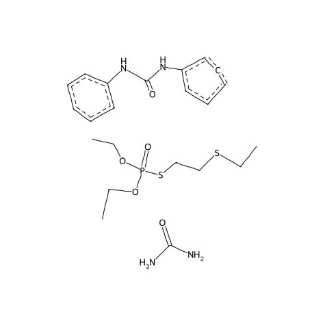 CCOP(=O)(OCC)SCCSCC.NC(N)=O.O=C(Nc1ccccc1)Nc1ccccc1